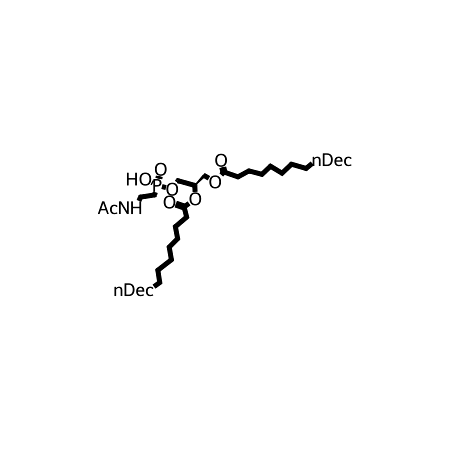 CCCCCCCCCCCCCCCCCC(=O)OC[C@H](COP(=O)(O)CCNC(C)=O)OC(=O)CCCCCCCCCCCCCCCCC